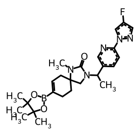 CC(c1ccc(-n2cc(F)cn2)nc1)N1CC2(CC=C(B3OC(C)(C)C(C)(C)O3)CC2)N(C)C1=O